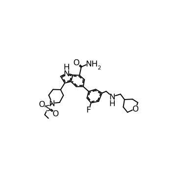 CCS(=O)(=O)N1CCC(c2c[nH]c3c(C(N)=O)cc(-c4cc(F)cc(CNCC5CCOCC5)c4)cc23)CC1